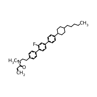 C=CC(=O)N(C)CCc1ccc(-c2ccc(-c3ccc(C4CCC(CCCCC)CC4)cc3)cc2F)cc1